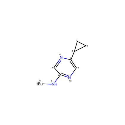 CC(C)(C)Nc1cnc(C2CC2)cn1